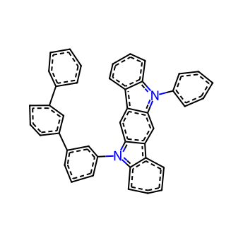 c1ccc(-c2cccc(-c3cccc(-n4c5ccccc5c5cc6c(cc54)c4ccccc4n6-c4ccccc4)c3)c2)cc1